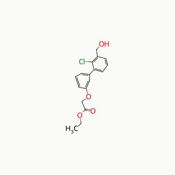 CCOC(=O)COc1cccc(-c2cccc(CO)c2Cl)c1